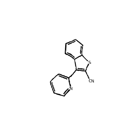 N#Cc1sc2ccccc2c1-c1ccccn1